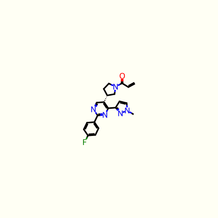 C=CC(=O)N1CC[C@@H](c2cnc(-c3ccc(F)cc3)nc2-c2ccn(C)n2)C1